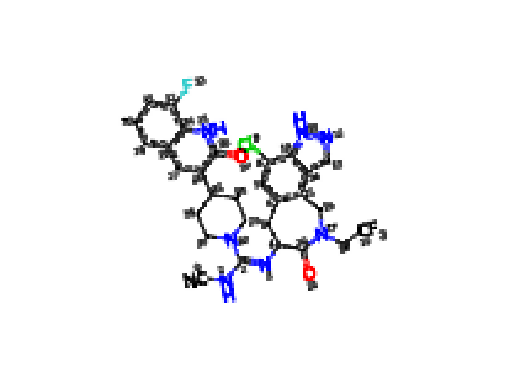 N#CNC(=NC1Cc2cc(Cl)c3[nH]ncc3c2CN(CC(F)(F)F)C1=O)N1CCC(c2cc3cccc(F)c3[nH]c2=O)CC1